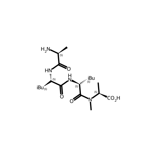 CC[C@H](C)[C@H](NC(=O)[C@H](C)N)C(=O)N[C@H](C(=O)N(C)[C@@H](C)C(=O)O)[C@@H](C)CC